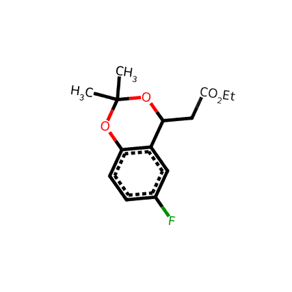 CCOC(=O)CC1OC(C)(C)Oc2ccc(F)cc21